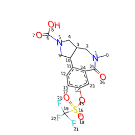 CN1CC2CN(C(=O)O)CC2c2ccc(OS(=O)(=O)C(F)(F)F)cc2C1=O